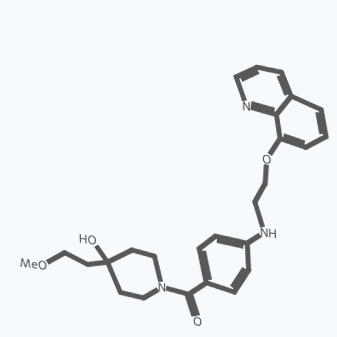 COCCC1(O)CCN(C(=O)c2ccc(NCCOc3cccc4cccnc34)cc2)CC1